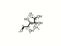 C[C@@H](O)[C@@](C)(O)[C@H](O)[C@H](O)C=O